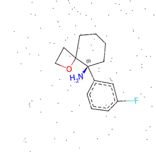 N[C@]1(c2cccc(F)c2)CCCCC12CCO2